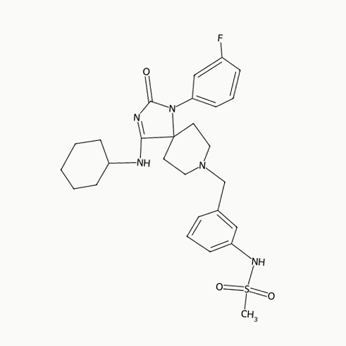 CS(=O)(=O)Nc1cccc(CN2CCC3(CC2)C(NC2CCCCC2)=NC(=O)N3c2cccc(F)c2)c1